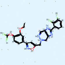 CCOc1cc(-c2cc(CN3Cc4nc(-c5cccc(F)c5F)[nH]c4C=N3)on2)ccc1OC(F)F